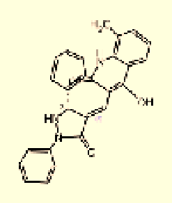 Cc1cccc2c(O)c(/C=C3/C(=O)N(c4ccccc4)N[C@@H]3c3ccccc3)c(=O)[nH]c12